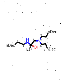 CCCCCCCCCCCCNC(O)(CC)CN(CCCCCCCCCCCC)CCCCCCCCCCCC